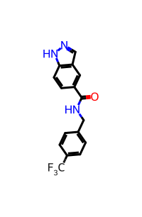 O=C(NCc1ccc(C(F)(F)F)cc1)c1ccc2[nH]ncc2c1